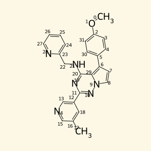 COc1ccc(-c2ccn3nc(-c4cncc(C)c4)nc(NCc4ccccn4)c23)cc1